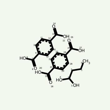 CCCC(O)O.O=C(O)c1ccc(C(=O)O)cc1.O=C(O)c1ccc(C(=O)O)cc1